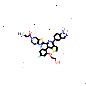 C=CC(=O)N1CCc2nc(-c3nc(-c4ccc5c(cnn5C)c4)c4ccsc4c3-c3c(F)cc(F)cc3OCCO)sc2C1